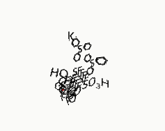 O=S(=O)(O)C(F)(F)C(F)(F)C(F)(F)C(F)(F)S(=O)(=O)O.O=S(=O)([O-])C(F)(F)C(F)(F)C(F)(F)C(F)(F)S(=O)(=O)[O-].[K].c1ccc([S+](c2ccccc2)c2ccccc2)cc1.c1ccc([S+](c2ccccc2)c2ccccc2)cc1